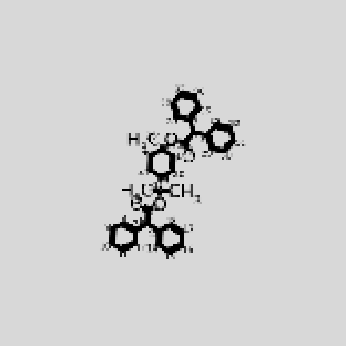 CC(C)(OC(=O)C(c1ccccc1)c1ccccc1)[C@H]1C=C[C@](C)(OC(=O)C(c2ccccc2)c2ccccc2)CC1